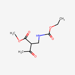 CCOC(=O)NCC(C(C)=O)C(=O)OC